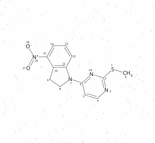 CSc1nccc(N2CCc3c2cccc3[N+](=O)[O-])n1